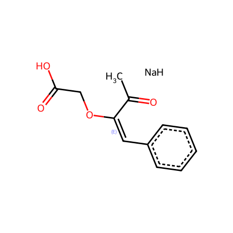 CC(=O)/C(=C\c1ccccc1)OCC(=O)O.[NaH]